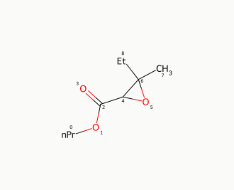 CCCOC(=O)C1OC1(C)CC